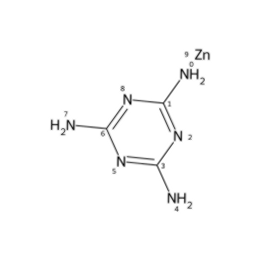 Nc1nc(N)nc(N)n1.[Zn]